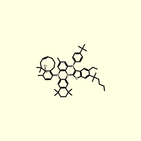 CCCCC(C)(C)c1cc2sc3c(c2cc1CC)N(c1ccc(C(C)(C)C)cc1)c1cc(C)cc2c1B3c1cc3c(cc1N2C1=C2CCC/C=C\CC(C)(C)[C@H]2C(C)C=C1)C(C)(C)CCC3(C)C